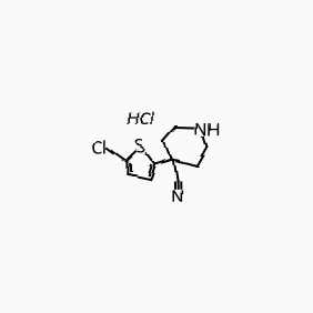 Cl.N#CC1(c2ccc(Cl)s2)CCNCC1